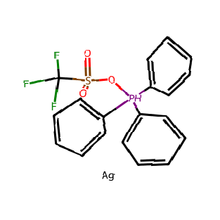 O=S(=O)(O[PH](c1ccccc1)(c1ccccc1)c1ccccc1)C(F)(F)F.[Ag]